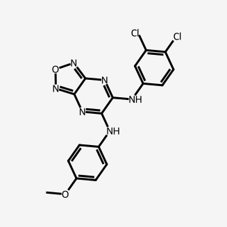 COc1ccc(Nc2nc3nonc3nc2Nc2ccc(Cl)c(Cl)c2)cc1